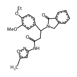 CCOc1ccc(C(CC(=O)Nc2cc(C)on2)N2Cc3ccccc3C2=O)cc1OC